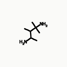 CC(N)C(C)C(C)(C)N